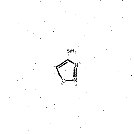 [SiH4].c1conn1